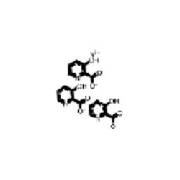 O=C([O-])c1ncccc1O.O=C([O-])c1ncccc1O.O=C([O-])c1ncccc1O.[N+3]